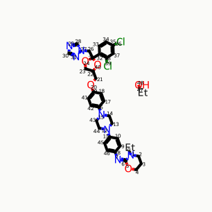 CCN1CCCOC1=Nc1ccc(N2CCN(c3ccc(OCC4COC(Cn5cncn5)(c5ccc(Cl)cc5Cl)O4)cc3)CC2)cc1.CCO